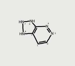 c1cc2c(nn1)NNN2